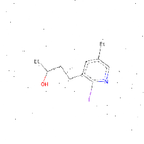 CCc1cnc(I)c(CCC(O)CC)c1